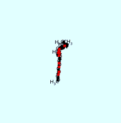 COCCOCCOCCOCCOCCOCCOc1ccc2[nH]c(C(=O)N3CCN(c4ncccc4NC(C)C)CC3)cc2c1